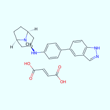 CN1[C@@H]2CC[C@H]1C[C@@H](Nc1ccc(-c3ccc4[nH]ncc4c3)cc1)C2.O=C(O)/C=C/C(=O)O